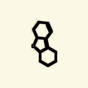 C1=CC2=C3CCCCC3OC2CC1